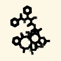 CC(=O)OC1C(=O)[C@@]2(C)C3[C@@H](OC(=O)c4ccccc4OC(C)O[C@]34CO[C@@H]4C[C@@H]2O)[C@]2(O)CC(OC(=O)C(O)C(NC(=O)c3ccccc3)c3ccccc3)C(C)=C1C2(C)C